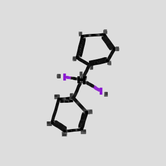 [I][Hf]([I])([c]1ccccc1)[c]1ccccc1